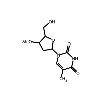 COC1CC(n2cc(C)c(=O)[nH]c2=O)OC1CO